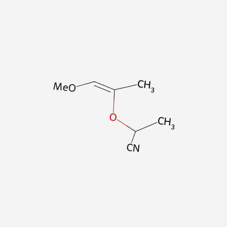 COC=C(C)OC(C)C#N